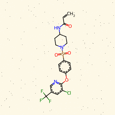 C=CC(=O)NC1CCN(S(=O)(=O)c2ccc(Oc3ncc(C(F)(F)F)cc3Cl)cc2)CC1